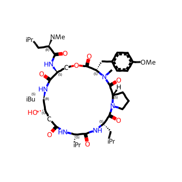 CC[C@H](C)[C@H]1NC(=O)[C@@H](NC(=O)[C@@H](CC(C)C)NC)COC(=O)[C@H](Cc2ccc(OC)cc2)N(C)C(=O)[C@@H]2CCCN2C(=O)[C@H](CC(C)C)NC(=O)[C@H](C(C)C)NC(=O)C[C@@H]1O